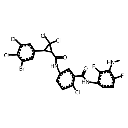 CNc1c(F)ccc(NC(=O)c2cc(NC(=O)C3C(c4cc(Cl)c(Cl)c(Br)c4)C3(Cl)Cl)ccc2Cl)c1F